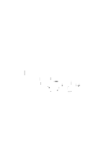 OCC(F)=Cc1ccc(-c2cnco2)cc1